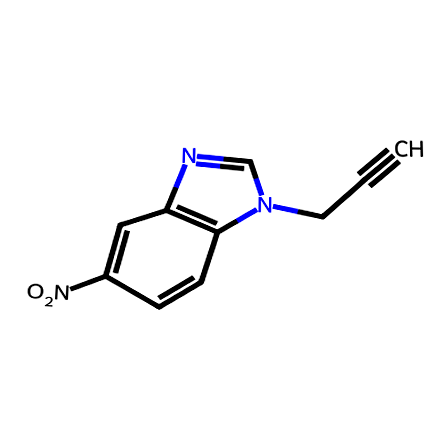 C#CCn1cnc2cc([N+](=O)[O-])ccc21